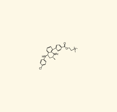 CC(=O)N1c2c(-c3ccc(C(=O)OCC[N+](C)(C)C)cc3)cccc2[C@H](Nc2ccc(Cl)cc2)C[C@@H]1C